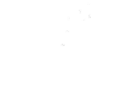 CC1(CC(=O)N2CCN(c3ccc(C#Cc4ccccc4)cc3)CC2)NC(=O)NC1=O